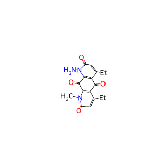 CCc1cc(=O)n(C)c2c1C(=O)c1c(CC)cc(=O)n(N)c1C2=O